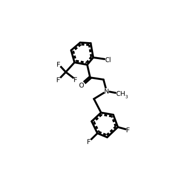 CN(CC(=O)c1c(Cl)cccc1C(F)(F)F)Cc1cc(F)cc(F)c1